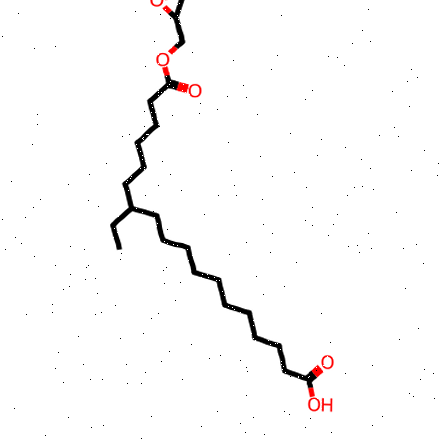 CCC(CCCCCCCCCCC(=O)O)CCCCCC(=O)OCC1CO1